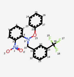 O=[N+]([O-])c1ccccc1N(Cc1cccc(C(F)(F)F)c1)Oc1ccccc1